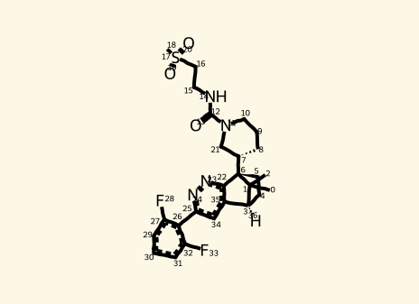 CC1(C)[C@H]2CC[C@]1([C@H]1CCCN(C(=O)NCCS(C)(=O)=O)C1)c1nnc(-c3c(F)cccc3F)cc12